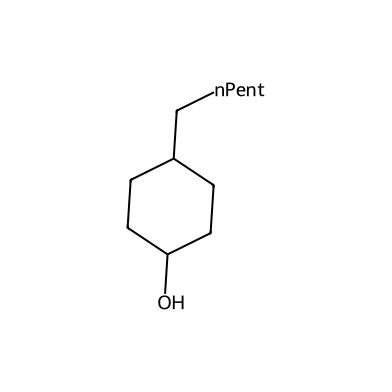 CCCCCCC1CCC(O)CC1